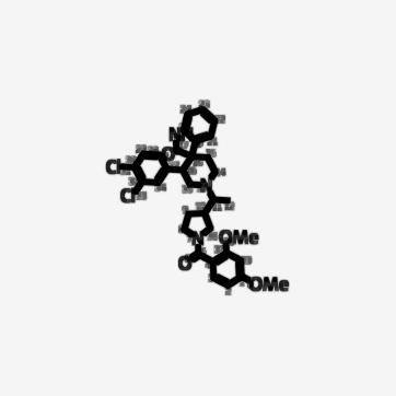 COc1ccc(C(=O)N2CCC(C(C)N3CCC(C(N)=O)(c4ccccc4)C(c4ccc(Cl)c(Cl)c4)C3)C2)c(OC)c1